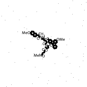 CNC(=O)CCC(=O)O[C@@H]1C[C@@H](COC(c2ccccc2)(c2ccc(OC)cc2)c2ccc(OC)cc2)N(C(=O)CCCCCNC(=O)[C@@H](C)c2ccc3cc(OC)ccc3c2)C1